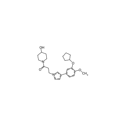 COc1ccc(-c2ccn(CCC(=O)N3CCC(O)CC3)c2)cc1OC1CCCC1